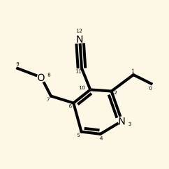 CCc1nccc(COC)c1C#N